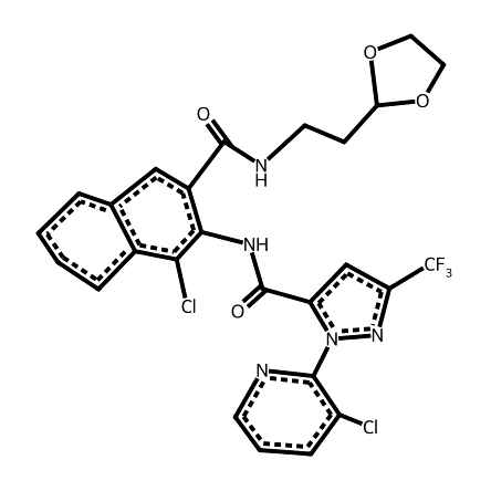 O=C(NCCC1OCCO1)c1cc2ccccc2c(Cl)c1NC(=O)c1cc(C(F)(F)F)nn1-c1ncccc1Cl